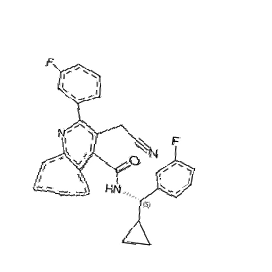 N#CCc1c(-c2cccc(F)c2)nc2ccccc2c1C(=O)N[C@H](c1cccc(F)c1)C1CC1